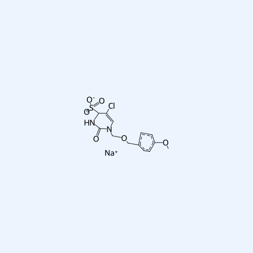 COc1ccc(COCN2C=C(Cl)C(S(=O)(=O)[O-])NC2=O)cc1.[Na+]